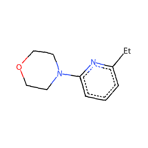 CCc1cccc(N2CCOCC2)n1